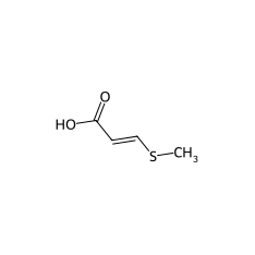 CSC=CC(=O)O